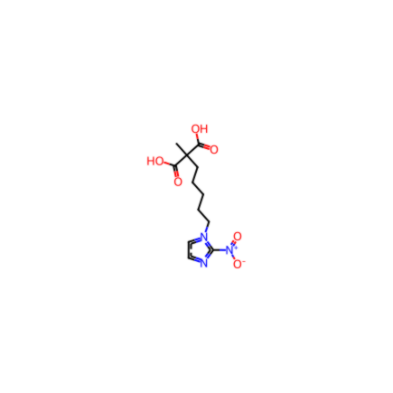 CC(CCCCCn1ccnc1[N+](=O)[O-])(C(=O)O)C(=O)O